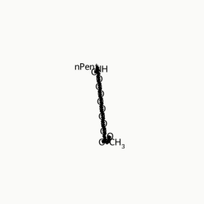 CCCCCNC(=O)CCOCCOCCOCCOCCOCCOCCOCCOCCN1C(=O)CC(C)C1=O